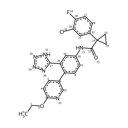 CCOc1ccc(-c2ccc(NC(=O)C3(c4ccc(F)c(Cl)c4)CC3)cc2-c2nnn[nH]2)cn1